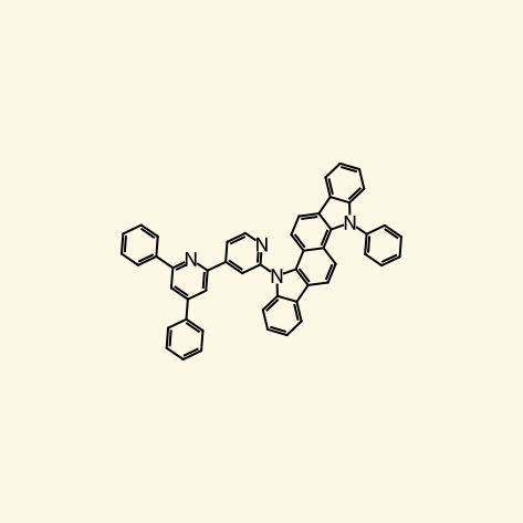 c1ccc(-c2cc(-c3ccccc3)nc(-c3ccnc(-n4c5ccccc5c5ccc6c(ccc7c8ccccc8n(-c8ccccc8)c76)c54)c3)c2)cc1